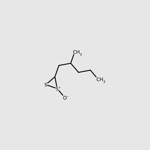 CCCC(C)CC1S[S+]1[O-]